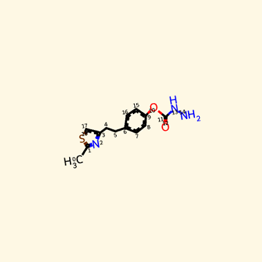 Cc1nc(CCc2ccc(OC(=O)NN)cc2)cs1